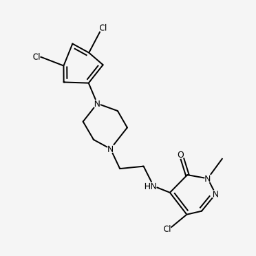 Cn1ncc(Cl)c(NCCN2CCN(c3cc(Cl)cc(Cl)c3)CC2)c1=O